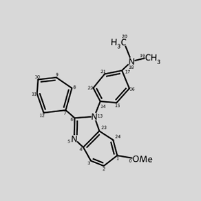 COc1ccc2nc(-c3ccccc3)n(-c3ccc(N(C)C)cc3)c2c1